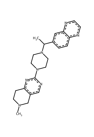 CC(c1ccc2nccnc2c1)N1CCN(c2ncc3c(n2)CCN(C)C3)CC1